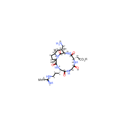 CNC(=N)NCCC[C@@H]1NC(=O)[C@@H]2CC[C@H]3C[C@@H](CN)[C@@H](NC(=O)[C@H](CC(=O)O)NC(=O)CNC1=O)C(=O)N32